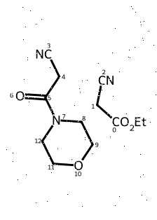 CCOC(=O)CC#N.N#CCC(=O)N1CCOCC1